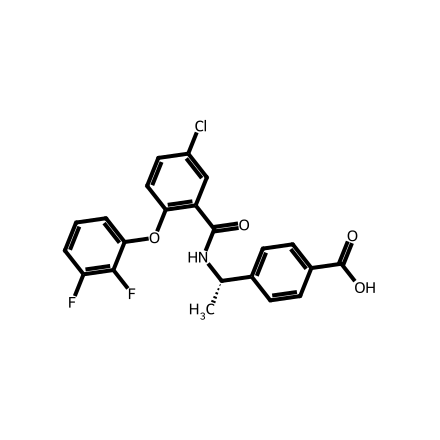 C[C@H](NC(=O)c1cc(Cl)ccc1Oc1cccc(F)c1F)c1ccc(C(=O)O)cc1